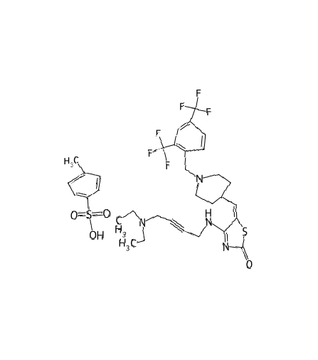 CCN(CC)CC#CCNC1=NC(=O)SC1=CC1CCN(Cc2ccc(C(F)(F)F)cc2C(F)(F)F)CC1.Cc1ccc(S(=O)(=O)O)cc1